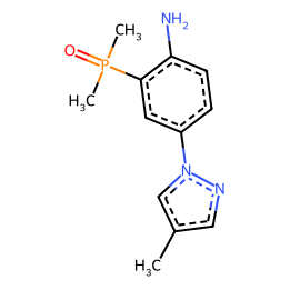 Cc1cnn(-c2ccc(N)c(P(C)(C)=O)c2)c1